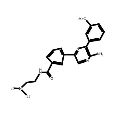 CCN(CC)CCNC(=O)c1cccc(-c2cnc(N)c(-c3cccc(OC)c3)n2)c1